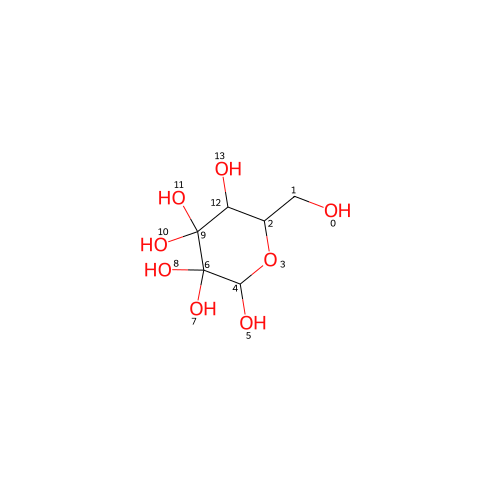 OCC1OC(O)C(O)(O)C(O)(O)C1O